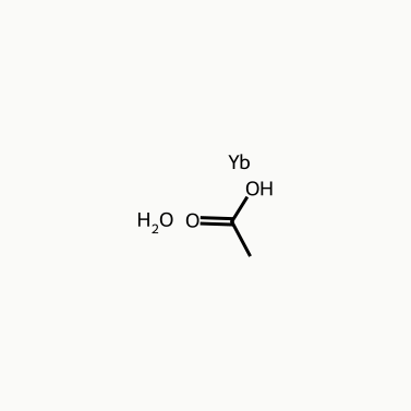 CC(=O)O.O.[Yb]